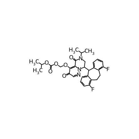 CC(C)OC(=O)OCOc1c2n(ncc1=O)C(C1c3cccc(F)c3CCc3c(F)cccc31)CN(C(C)C)C2=O